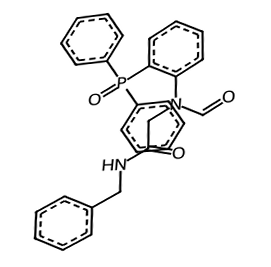 O=CN(CC(=O)NCc1ccccc1)c1ccccc1P(=O)(c1ccccc1)c1ccccc1